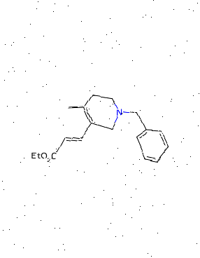 CCOC(=O)C=CC1=C(C)CCN(Cc2ccccc2)C1